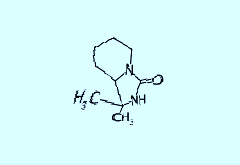 CC1(C)NC(=O)N2CCCCC21